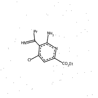 CCOC(=O)c1cc(Cl)c(C(=N)C(C)C)c(N)n1